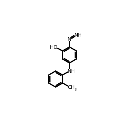 Cc1ccccc1Nc1ccc(N=N)c(O)c1